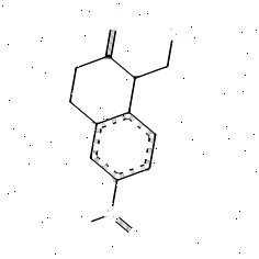 NCC1C(=O)CCc2cc([N+](=O)[O-])ccc21